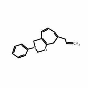 C=CCC1=CC=CC2=C(C1)OCN(c1ccccc1)C2